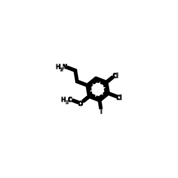 COc1c(CCN)cc(Cl)c(Cl)c1I